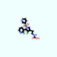 O=C(O)NCCc1cn(S(=O)(=O)c2cccnc2)c(-c2cccnc2F)c1F